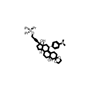 CC(C)[Si](OCC#C[C@@]1(O)CC[C@H]2C3CC[C@@]4(O)CC5(CCC4=C3[C@@H](c3ccc(N(C)C)cc3)C[C@]21C)OCCO5)(C(C)C)C(C)C